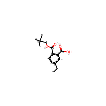 CCc1ccc(C(=O)OCC(C)(C)C)c(C(=O)O)c1